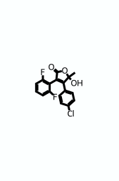 CC1(O)OC(=O)C(c2c(F)cccc2F)=C1c1ccc(Cl)cc1